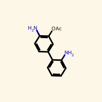 CC(=O)Oc1cc(-c2ccccc2N)ccc1N